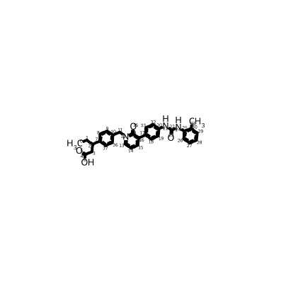 CCC(CC(=O)O)c1ccc(Cn2cccc(-c3ccc(NC(=O)Nc4ccccc4C)cc3)c2=O)cc1